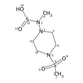 CN(N1CCN(S(C)(=O)=O)CC1)S(=O)O